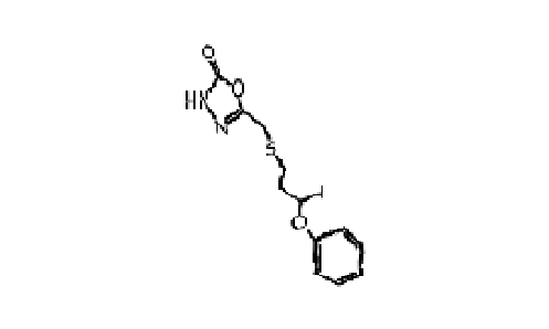 O=c1[nH]nc(CSCCC(I)Oc2ccccc2)o1